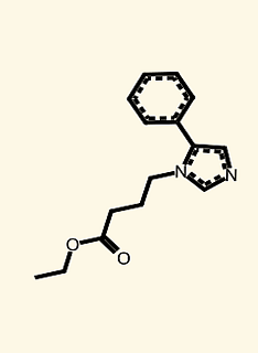 CCOC(=O)CCCn1cncc1-c1ccccc1